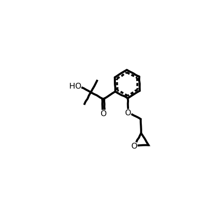 CC(C)(O)C(=O)c1ccccc1OCC1CO1